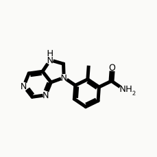 Cc1c(C(N)=O)cccc1N1CNc2cncnc21